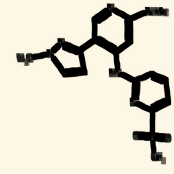 CC(=O)Nc1cc(Nc2cccc(S(C)(=O)=O)n2)c(-c2ccn(C)n2)cn1